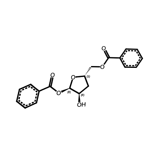 O=C(OC[C@@H]1C[C@@H](O)[C@@H](OC(=O)c2ccccc2)O1)c1ccccc1